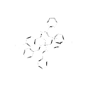 O=C(O)c1ccc(-c2nc(-c3ccccc3)c(-c3ccccc3)n2C2(C3=CCC(C(=O)O)C=C3)N=C(c3ccccc3)C(c3ccccc3)=N2)cc1